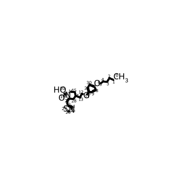 CCCCCCOc1ccc(OCCC2CCN(C(=O)O)C(Cc3cncs3)C2)cc1